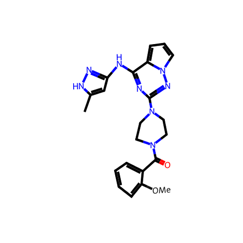 COc1ccccc1C(=O)N1CCN(c2nc(Nc3cc(C)[nH]n3)c3cccn3n2)CC1